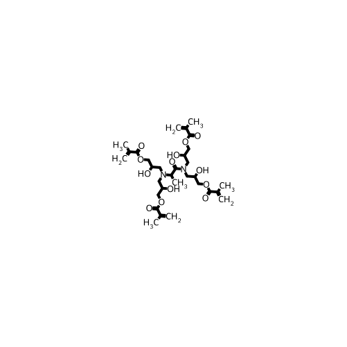 C=C(C)C(=O)OCC(O)CN(CC(O)COC(=O)C(=C)C)C(=O)C(C)N(CC(O)COC(=O)C(=C)C)CC(O)COC(=O)C(=C)C